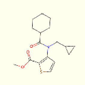 COC(=O)c1sccc1N(CC1CC1)C(=O)C1CCCCC1